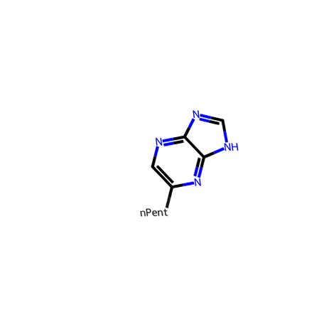 CCCCCc1cnc2nc[nH]c2n1